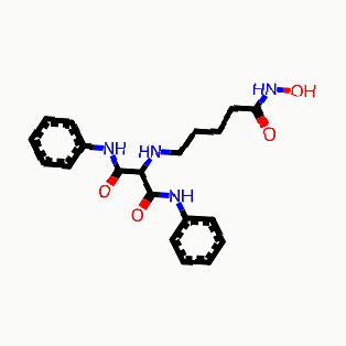 O=C(CCCCNC(C(=O)Nc1ccccc1)C(=O)Nc1ccccc1)NO